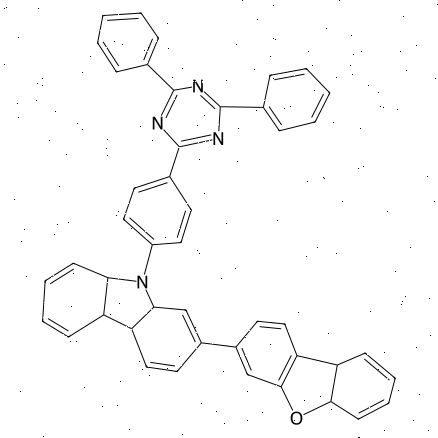 C1=CC2Oc3cc(C4=CC5C(C=C4)C4C=CC=CC4N5c4ccc(-c5nc(-c6ccccc6)nc(-c6ccccc6)n5)cc4)ccc3C2C=C1